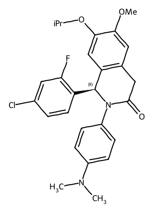 COc1cc2c(cc1OC(C)C)[C@H](c1ccc(Cl)cc1F)N(c1ccc(N(C)C)cc1)C(=O)C2